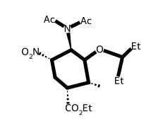 CCOC(=O)[C@@H]1C[C@H]([N+](=O)[O-])[C@@H](N(C(C)=O)C(C)=O)C(OC(CC)CC)[C@@H]1C